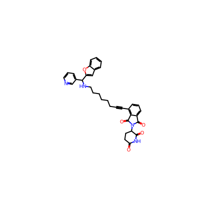 O=C1CCC(N2C(=O)c3cccc(C#CCCCCCCNC(c4cccnc4)c4cc5ccccc5o4)c3C2=O)C(=O)N1